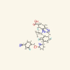 N#Cc1ccc(COc2cccc(-c3cc(F)c(Cc4nc5ccc(C(=O)O)cc5n4CC4(F)CC4)cc3F)n2)c(F)c1